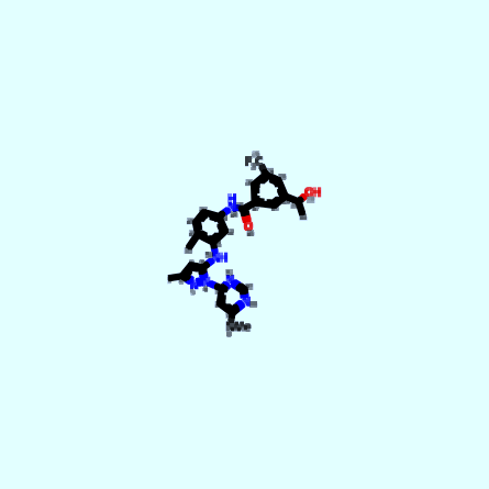 CNc1cc(-n2nc(C)cc2Nc2cc(NC(=O)c3cc(C(C)O)cc(C(F)(F)F)c3)ccc2C)ncn1